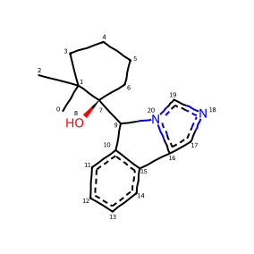 CC1(C)CCCC[C@]1(O)C1c2ccccc2-c2cncn21